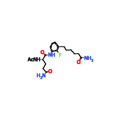 CC(=O)N[C@@H](CCC(N)=O)C(=O)Nc1cccc(CCCCCC(N)=O)c1F